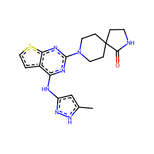 Cc1cc(Nc2nc(N3CCC4(CCNC4=O)CC3)nc3sccc23)n[nH]1